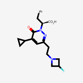 CC(C)C[C@@H](C(=O)O)n1nc(CCN2CC(F)C2)cc(C2CC2)c1=O